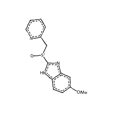 COc1ccc2[nH]c([S+]([O-])Cc3ccccn3)nc2c1